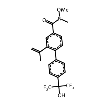 C=C(C)c1cc(C(=O)N(C)OC)ccc1-c1ccc(C(O)(C(F)(F)F)C(F)(F)F)cc1